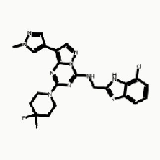 Cn1cc(-c2cnn3c(NCc4nc5cccc(Cl)c5[nH]4)nc(N4CCC(F)(F)CC4)nc23)cn1